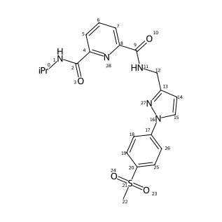 CC(C)NC(=O)c1cccc(C(=O)NCc2ccn(-c3ccc(S(C)(=O)=O)cc3)n2)n1